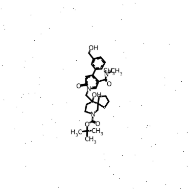 CN(C)C(=O)c1cn(CC2(O)CCN(C(=O)OC(C)(C)C)CC23CCCC3)c(=O)cc1-c1cccc(CO)c1